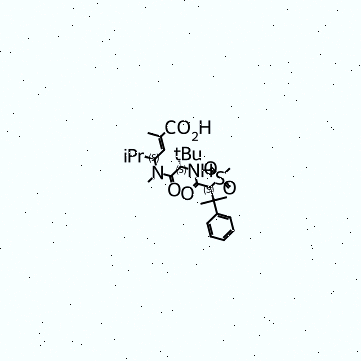 CC(=C[C@H](C(C)C)N(C)C(=O)[C@@H](NC(=O)[C@H](C(C)(C)c1ccccc1)S(C)(=O)=O)C(C)(C)C)C(=O)O